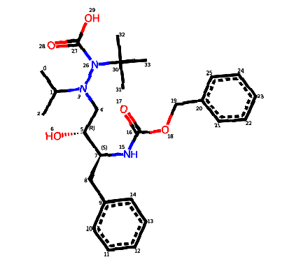 CC(C)N(C[C@@H](O)[C@H](Cc1ccccc1)NC(=O)OCc1ccccc1)N(C(=O)O)C(C)(C)C